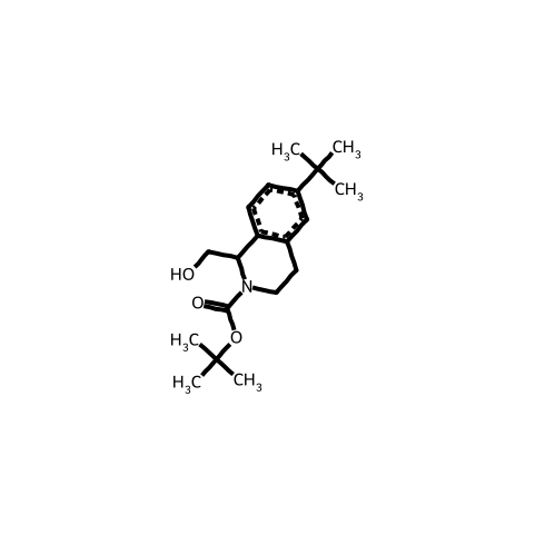 CC(C)(C)OC(=O)N1CCc2cc(C(C)(C)C)ccc2C1CO